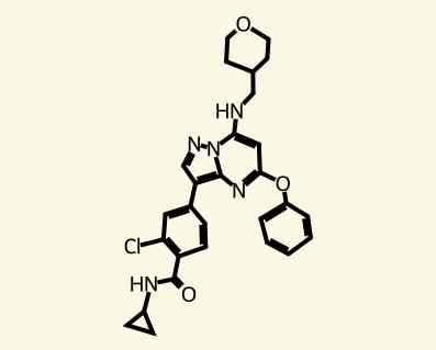 O=C(NC1CC1)c1ccc(-c2cnn3c(NCC4CCOCC4)cc(Oc4ccccc4)nc23)cc1Cl